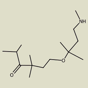 CNCCC(C)(C)OCCC(C)(C)C(=O)C(C)C